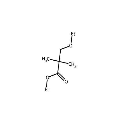 CCOCC(C)(C)C(=O)OCC